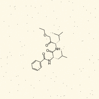 CCOCC(=O)[C@H](CC(C)C)NC(=O)[C@H](CC(C)C)NC(=O)c1ccccc1